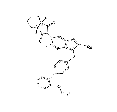 CCCCc1nc2cc(N3C(=O)[C@H]4CCCC[C@H]4C3=O)c(C)nc2n1Cc1ccc(-c2ccccc2OC(=O)O)cc1